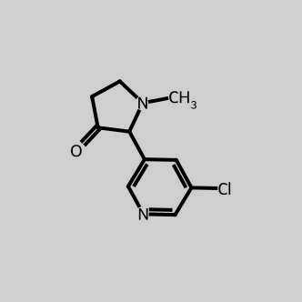 CN1CCC(=O)C1c1cncc(Cl)c1